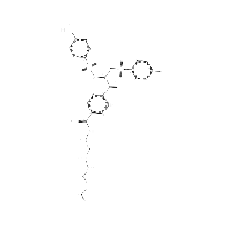 Cc1ccc(S(=O)(=O)CC(CS(=O)(=O)c2ccc(C)cc2)C(=O)c2ccc(C(=O)NCCOCCOCC(=O)O)cc2)cc1